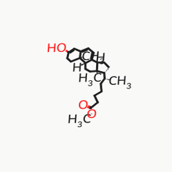 COC(=O)CCCC[C@@H](C)[C@H]1CC[C@H]2C3=CC=C4C=C(O)CC[C@]4(C)[C@H]3CC[C@]12C